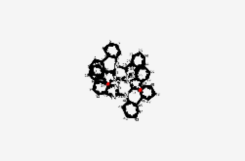 c1ccc(-c2ccccc2N2c3c4ccccc4nn3[Si]3(n4nc5ccccc5c42)n2c(nc4ccccc42)N(c2ccccc2-c2ccccc2)c2nc4ccccc4n23)cc1